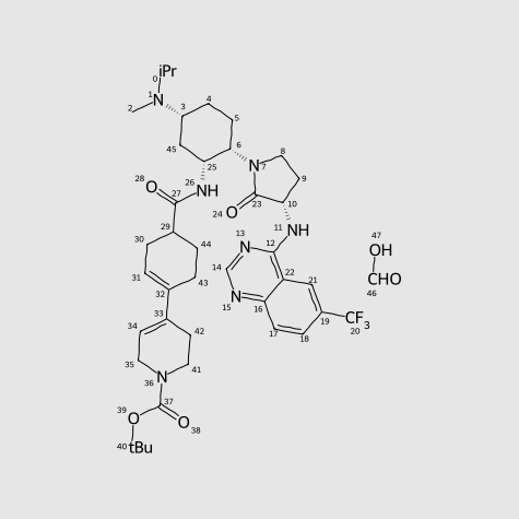 CC(C)N(C)[C@@H]1CC[C@H](N2CC[C@H](Nc3ncnc4ccc(C(F)(F)F)cc34)C2=O)[C@H](NC(=O)C2CC=C(C3=CCN(C(=O)OC(C)(C)C)CC3)CC2)C1.O=CO